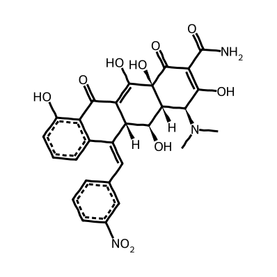 CN(C)[C@@H]1C(O)=C(C(N)=O)C(=O)[C@@]2(O)C(O)=C3C(=O)c4c(O)cccc4/C(=C\c4cccc([N+](=O)[O-])c4)[C@H]3[C@H](O)[C@@H]12